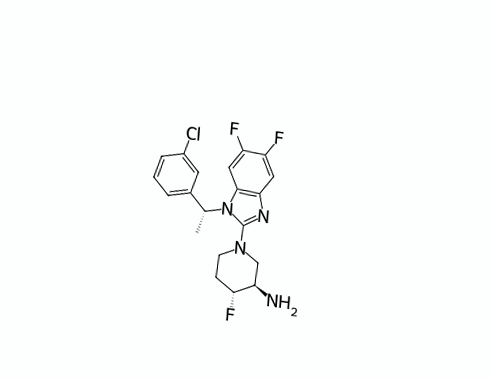 C[C@H](c1cccc(Cl)c1)n1c(N2CC[C@@H](F)[C@H](N)C2)nc2cc(F)c(F)cc21